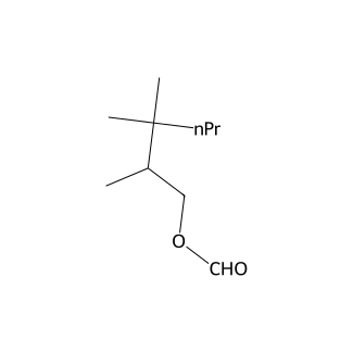 CCCC(C)(C)C(C)COC=O